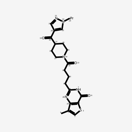 Cc1csc2c(=O)[nH]c(CCCC(=O)N3CCC(C(=O)c4cnn(C(C)C)c4)CC3)nc12